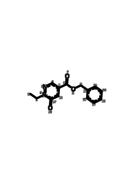 CCn1ncc(C(=O)OCc2ccccc2)cc1=O